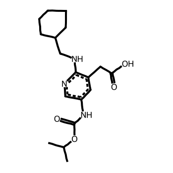 CC(C)OC(=O)Nc1cnc(NCC2CCCCC2)c(CC(=O)O)c1